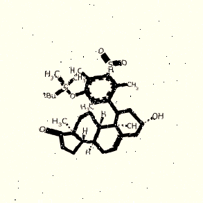 Cc1c(O[Si](C)(C)C(C)(C)C)c(C)c([SH](=O)=O)c(C)c1C1C[C@H](O)CC2=CC[C@H]3[C@@H]4CCC(=O)[C@@]4(C)CC[C@@H]3[C@]21C